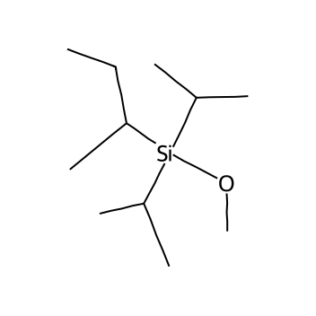 CCC(C)[Si](OC)(C(C)C)C(C)C